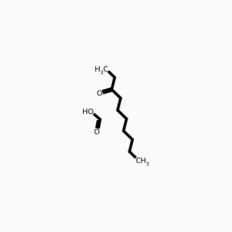 CCCCCCCC(=O)CC.O=CO